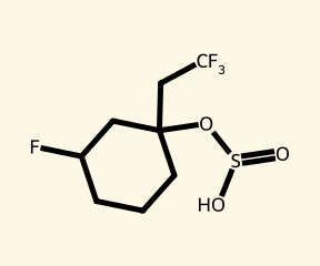 O=S(O)OC1(CC(F)(F)F)CCCC(F)C1